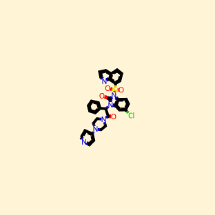 O=C(C(c1ccccc1)n1c(=O)n(S(=O)(=O)c2cccc3cccnc23)c2ccc(Cl)cc21)N1CCN(c2ccncc2)CC1